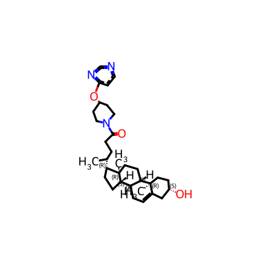 CC(CCC(=O)N1CCC(Oc2ccncn2)CC1)[C@H]1CC[C@H]2[C@@H]3CC=C4C[C@@H](O)CC[C@]4(C)[C@H]3CC[C@]12C